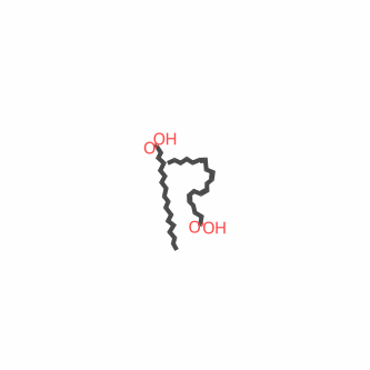 CCCCC/C=C\C/C=C\C/C=C\C/C=C\CCCC(=O)O.CCCCCCCCCCCCCCCCCC(=O)O